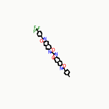 Cc1ccc(-c2nc3cc4cc5oc(-c6nc7cc8cc9oc(-c%10ccc(C(F)(F)F)cc%10)nc9cc8cc7o6)nc5cc4cc3o2)cc1